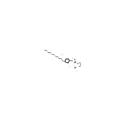 CCCCCCCCCCCCc1ccc(-c2noc(C3CCCN3C(=N)N)n2)cc1.Cl